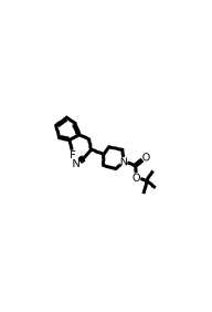 CC(C)(C)OC(=O)N1CCC(C(C#N)Cc2ccccc2F)CC1